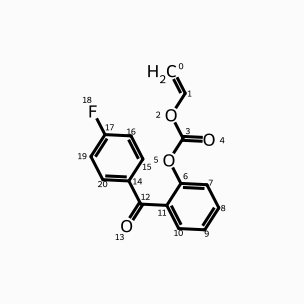 C=COC(=O)Oc1ccccc1C(=O)c1ccc(F)cc1